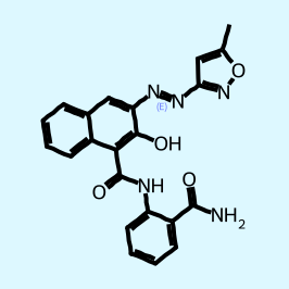 Cc1cc(/N=N/c2cc3ccccc3c(C(=O)Nc3ccccc3C(N)=O)c2O)no1